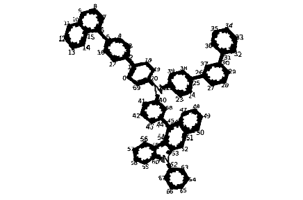 C1=C(c2ccc(-c3cccc4ccccc34)cc2)CCC(N(c2ccc(-c3cccc(-c4ccccc4)c3)cc2)c2cccc(-c3c4ccccc4cc4c3c3ccccc3n4-c3ccccc3)c2)=C1